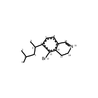 CC(C)CC(C)c1ccc2c(c1Br)CCN=C2